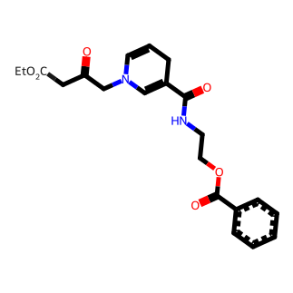 CCOC(=O)CC(=O)CN1C=CCC(C(=O)NCCOC(=O)c2ccccc2)=C1